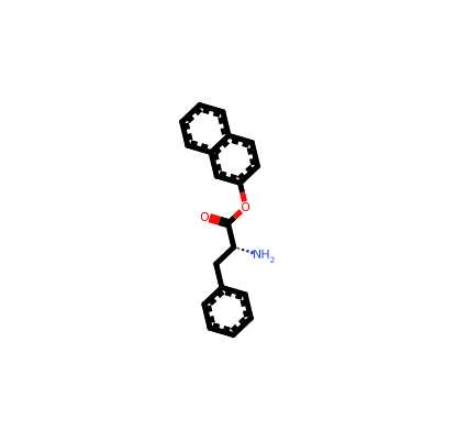 N[C@H](Cc1ccccc1)C(=O)Oc1ccc2ccccc2c1